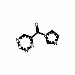 O=C(c1cnnnn1)n1ccnc1